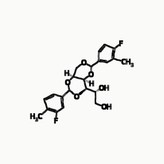 Cc1cc(C2OC[C@@H]3OC(c4ccc(C)c(F)c4)O[C@H]([C@H](O)CO)[C@@H]3O2)ccc1F